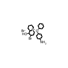 Nc1ccc(Oc2ccccc2)cc1.Oc1c(Br)cc[n+]2ccccc12.[Br-]